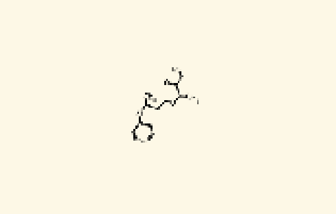 C=CC(=O)C(C)OCCC(C)Oc1ccccc1